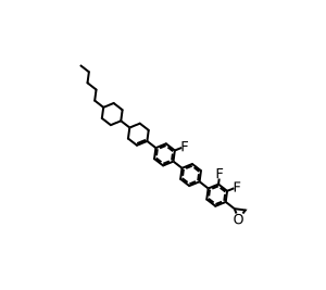 CCCCCC1CCC(C2CC=C(c3ccc(-c4ccc(-c5ccc(C6CO6)c(F)c5F)cc4)c(F)c3)CC2)CC1